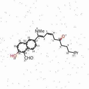 CN/C(=C\C=C/CC(=O)CCCC(C)C)c1ccc2c(C=O)c(O)ccc2c1